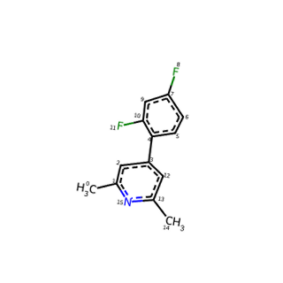 Cc1cc(-c2ccc(F)cc2F)cc(C)n1